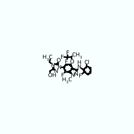 CCn1c(CO)nn(-c2cc(OC(C)C(F)(F)F)c3c(Nc4c(F)cccc4Cl)nn(C)c3c2F)c1=O